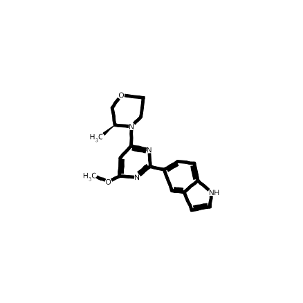 COc1cc(N2CCOC[C@@H]2C)nc(-c2ccc3[nH]ccc3c2)n1